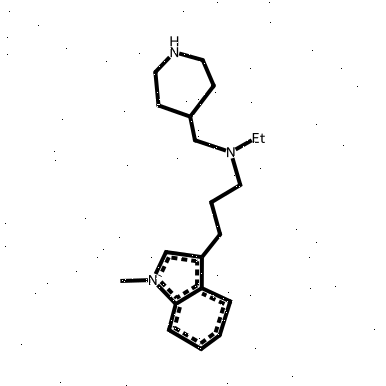 CCN(CCCc1cn(C)c2ccccc12)CC1CCNCC1